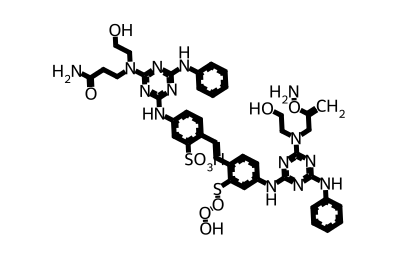 C=C(CN(CCO)c1nc(Nc2ccccc2)nc(Nc2ccc(C=Cc3ccc(Nc4nc(Nc5ccccc5)nc(N(CCO)CCC(N)=O)n4)cc3S(=O)(=O)O)c(SOOO)c2)n1)ON